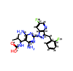 CC(C)C(NC(=O)O)c1c(N)nc(-n2nc(Cc3ccccc3F)c3ncc(F)cc32)nc1N